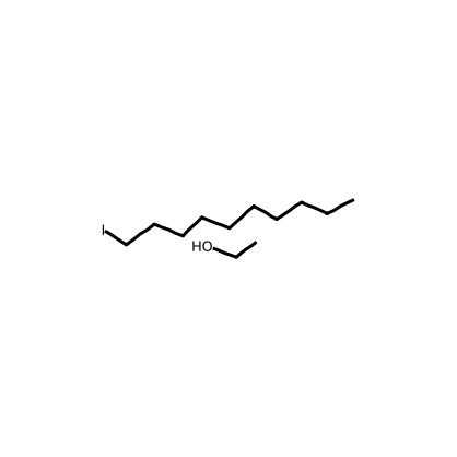 CCCCCCCCCCI.CCO